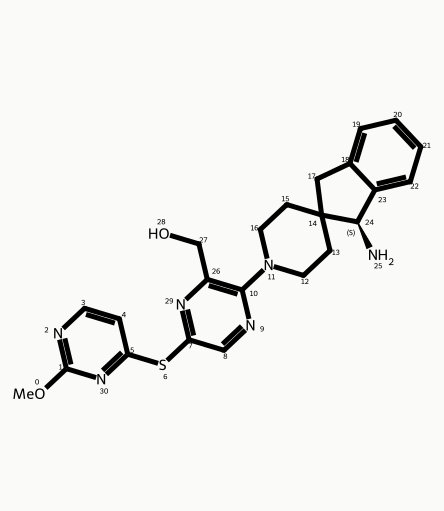 COc1nccc(Sc2cnc(N3CCC4(CC3)Cc3ccccc3[C@H]4N)c(CO)n2)n1